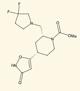 COC(=O)N1CC[C@H](c2cc(=O)[nH]o2)C[C@@H]1CN1CCC(F)(F)C1